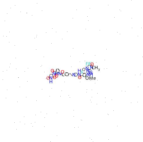 COc1cc(C(=O)NC2CCN(CCc3ccc(CC(=O)Nc4cccc5c4C(=O)N(C4CCC(=O)NC4=O)C5=O)cc3)CC2)c(F)cc1Nc1ncc2c(n1)N(C1CCCC1)CC(F)(F)C(=O)N2C